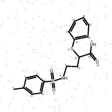 Cc1ccc(S(=O)(=O)NCCC(Sc2ccccc2)C(=O)O)cc1